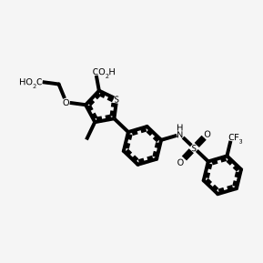 Cc1c(-c2cccc(NS(=O)(=O)c3ccccc3C(F)(F)F)c2)sc(C(=O)O)c1OCC(=O)O